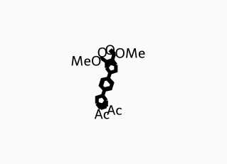 COC(=O)C1C2CC(c3ccc(C4CC5CC4C(C(C)=O)C5C(C)=O)cc3)C(C2)C1C(=O)OC